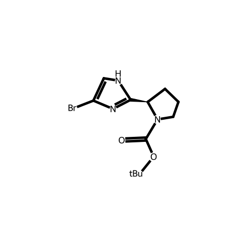 CC(C)(C)OC(=O)N1CCC[C@@H]1c1nc(Br)c[nH]1